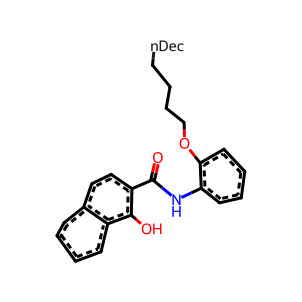 CCCCCCCCCCCCCCOc1ccccc1NC(=O)c1ccc2ccccc2c1O